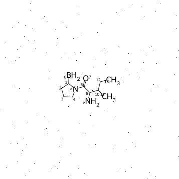 BC1CCCN1C(=O)C(N)C(C)CC